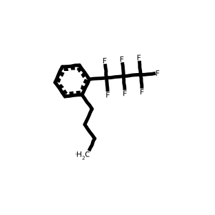 [CH2]CCCc1ccccc1C(F)(F)C(F)(F)C(F)(F)F